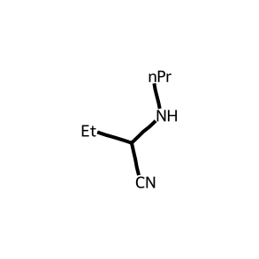 CCCNC(C#N)CC